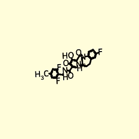 Cc1cc(F)c(CNC(=O)c2cn3c(c(O)c2=O)C(=O)N2C[C@H]3CCc3cc(F)ccc32)c(F)c1